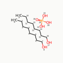 CCCCCCCCO.CCCCCCCCO.O=P(O)(O)O